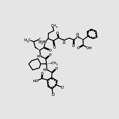 CCCC(NC(=O)[C@H](CC(C)C)NC(=O)[C@@](C)(NC(=O)c1cc(Cl)c(Cl)cc1C(=O)O)C1CCCCC1)C(=O)C(=O)NCC(=O)N[C@H](C(=O)O)c1ccccc1